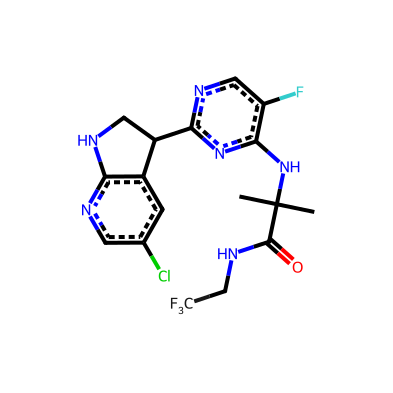 CC(C)(Nc1nc(C2CNc3ncc(Cl)cc32)ncc1F)C(=O)NCC(F)(F)F